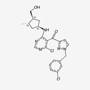 C[C@H]1C[C@H](Nc2ncnc(Cl)c2C(=O)c2ccn(Cc3cccc(Cl)c3)n2)C[C@@H]1CO